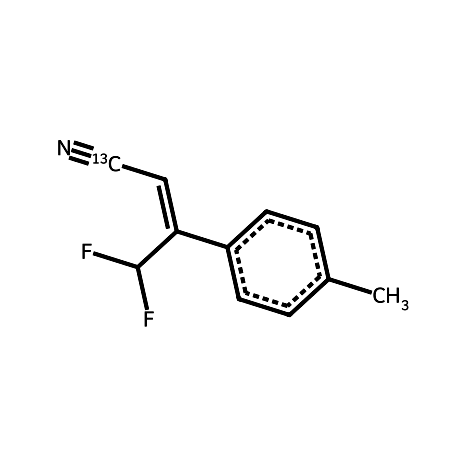 Cc1ccc(C(=C[13C]#N)C(F)F)cc1